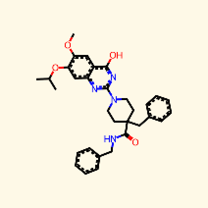 COc1cc2c(O)nc(N3CCC(Cc4ccccc4)(C(=O)NCc4ccccc4)CC3)nc2cc1OC(C)C